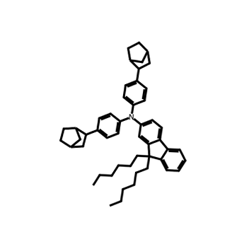 CCCCCCC1(CCCCCC)c2ccccc2-c2ccc(N(c3ccc(C4CC5CCC4C5)cc3)c3ccc(C4CC5CCC4C5)cc3)cc21